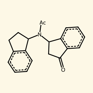 CC(=O)N(C1CCc2ccccc21)C1CC(=O)c2ccccc21